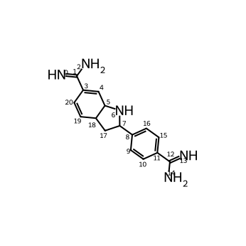 N=C(N)C1=CC2NC(c3ccc(C(=N)N)cc3)CC2C=C1